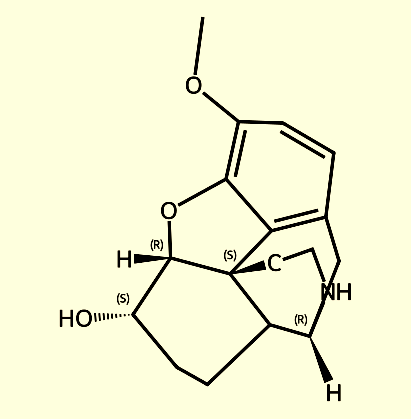 COc1ccc2c3c1O[C@H]1[C@@H](O)CCC4[C@@H](C2)NCC[C@@]341